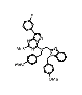 COc1ccc(CN(Cc2nc3ccccc3n2Cc2ccc(OC)cc2)c2nc(SC)nc3c(-c4cccc(F)c4)cnn23)cc1